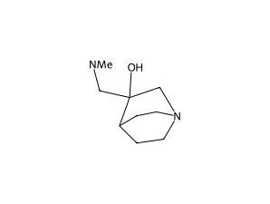 CNCC1(O)CN2CCC1CC2